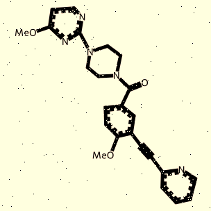 COc1ccnc(N2CCN(C(=O)c3ccc(OC)c(C#Cc4ccccn4)c3)CC2)n1